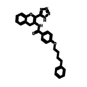 O=C(NC1=C(c2nnn[nH]2)Oc2ccccc2C1)c1ccc(OCCCCc2ccccc2)cc1